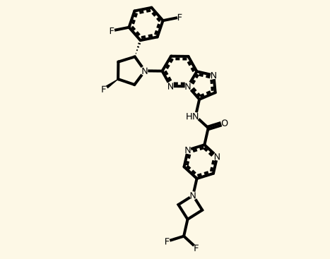 O=C(Nc1cnc2ccc(N3C[C@@H](F)C[C@@H]3c3cc(F)ccc3F)nn12)c1ncc(N2CC(C(F)F)C2)cn1